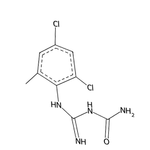 Cc1cc(Cl)cc(Cl)c1NC(=N)NC(N)=O